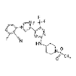 CS(=O)(=O)N1CCC(Nc2ncc(C(F)(F)F)c(-c3cn(-c4cccc(F)c4C#N)cn3)n2)CC1